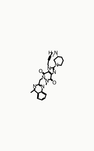 CC#CCn1c(N2CCC[C@@H](N)C2)nc2c(=O)n(C)n(Cc3nc(C)c4ccccc4n3)c(=O)c21